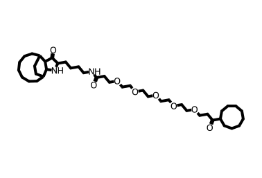 O=C(CCOCCOCCOCCOCCOCCC(=O)C1CCCCCCCC1)NCCCCC1NC2C3CCCCCCCC(CC3)C2C1=O